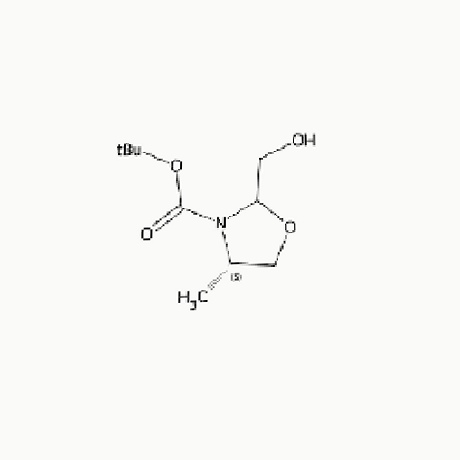 C[C@H]1COC(CO)N1C(=O)OC(C)(C)C